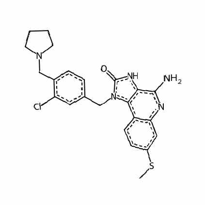 CSc1ccc2c(c1)nc(N)c1[nH]c(=O)n(Cc3ccc(CN4CCCC4)c(Cl)c3)c12